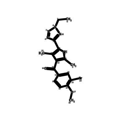 CCn1nnc(-c2[nH]c(C)c(C(=O)c3ccc(OC)c(Br)c3)c2C)n1